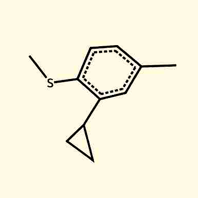 CSc1ccc(C)cc1C1CC1